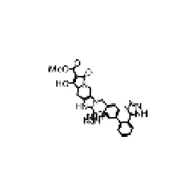 CCCCC1NC2=C(CN3C(=O)C(C(=O)OC)=C(O)C3C2)N1Cc1ccc(-c2ccccc2-c2nnn[nH]2)cc1.[NaH].[NaH]